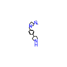 CN(C)C1CCN(Cc2ccc(C3CCNCC3)cc2)C1